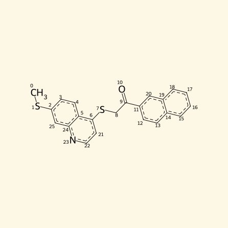 CSc1ccc2c(SCC(=O)c3ccc4ccccc4c3)ccnc2c1